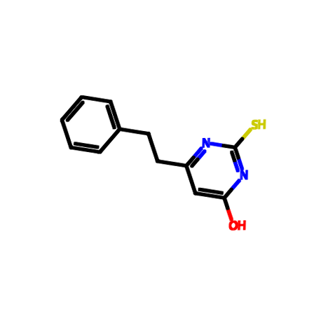 Oc1cc(CCc2ccccc2)nc(S)n1